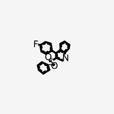 O=S(=O)(c1ccccc1)c1cnc2ccccc2c1-c1ccc(F)cc1